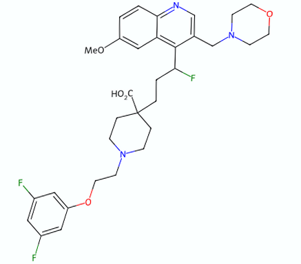 COc1ccc2ncc(CN3CCOCC3)c(C(F)CCC3(C(=O)O)CCN(CCOc4cc(F)cc(F)c4)CC3)c2c1